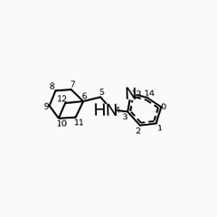 c1ccc(NCC23CCCC(C2)C3)nc1